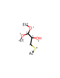 CCOC(OCC)C(O)CSC(C)=O